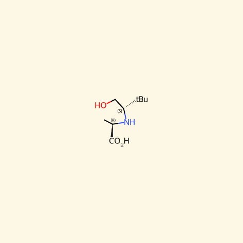 C[C@@H](N[C@H](CO)C(C)(C)C)C(=O)O